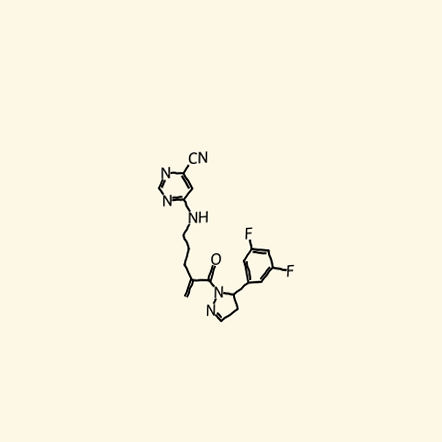 C=C(CCCNc1cc(C#N)ncn1)C(=O)N1N=CCC1c1cc(F)cc(F)c1